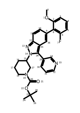 COc1cccc(F)c1-c1ccc2nn(C3CCCN(C(=O)OC(C)(C)C)C3)c(-c3cccnc3)c2c1